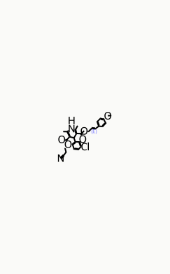 COc1ccc(/C=C/COC(=O)C2=C(C)NC(C)=C(C(=O)OCCC#N)C2c2cccc(Cl)c2)cc1